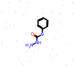 NNC(=O)[N]c1ccccc1